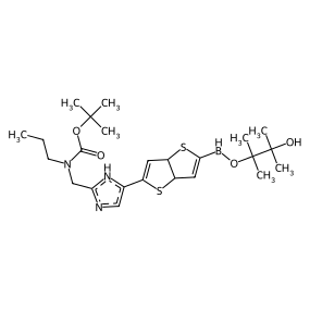 CCCN(Cc1ncc(C2=CC3SC(BOC(C)(C)C(C)(C)O)=CC3S2)[nH]1)C(=O)OC(C)(C)C